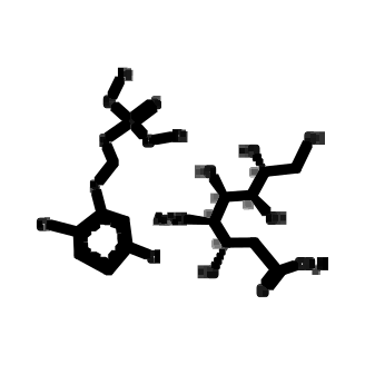 CC(=O)N[C@@H]([C@@H](O)[C@H](O)[C@H](O)CO)[C@@H](O)CC(=O)C(=O)O.CCOP(=S)(OCC)SCSc1cc(Cl)ccc1Cl